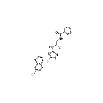 O=C(CNC(=O)c1ccccc1)Nc1nnc(Sc2ccnc3cc(Cl)ccc23)s1